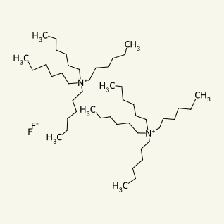 CCCCCC[N+](CCCCCC)(CCCCCC)CCCCCC.CCCCCC[N+](CCCCCC)(CCCCCC)CCCCCC.[F-].[F-]